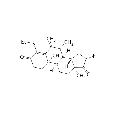 C=C1C2=C(SCC)C(=O)CC[C@]2(C)[C@@H]2CC[C@]3(C)C(=O)C(F)C[C@H]3[C@@H]2C1C